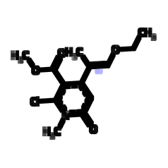 CCO/C=C(\C)c1cc(=O)n(C)c(Cl)c1C(=O)OC